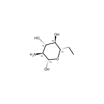 CC[C@@H]1O[C@H](O)[C@@H](N)[C@H](O)[C@H]1O